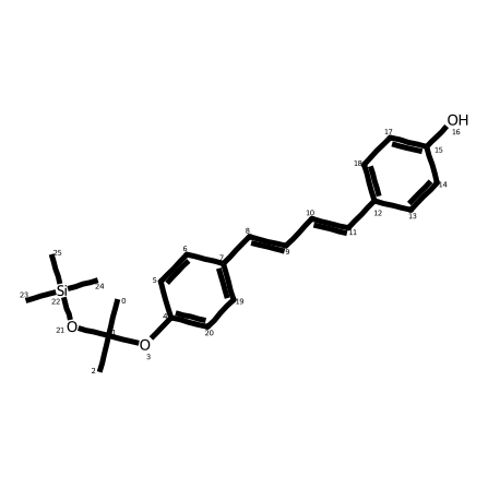 CC(C)(Oc1ccc(C=CC=Cc2ccc(O)cc2)cc1)O[Si](C)(C)C